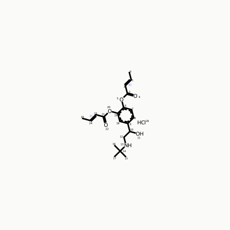 C/C=C/C(=O)Oc1ccc(C(O)CNC(C)(C)C)cc1OC(=O)/C=C/C.Cl